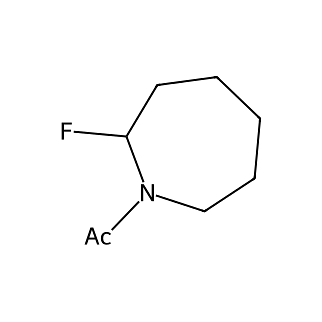 CC(=O)N1CCCCCC1F